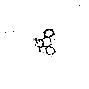 CC(C)c1n[nH]c2c1C1(CCNCC1)Oc1ccccc1-2